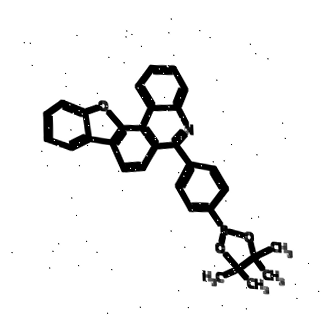 CC1(C)OB(c2ccc(-c3nc4ccccc4c4c3ccc3c5ccccc5oc34)cc2)OC1(C)C